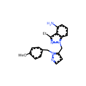 CCc1nn(Cc2ccnn2Cc2ccc(OC)cc2)c2cccc(N)c12